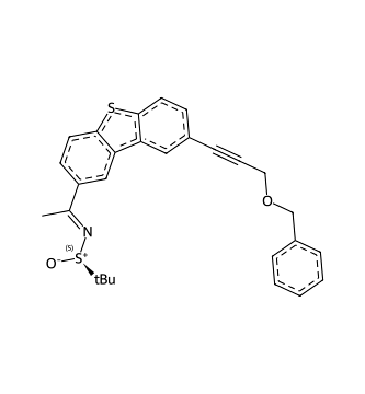 CC(=N[S@+]([O-])C(C)(C)C)c1ccc2sc3ccc(C#CCOCc4ccccc4)cc3c2c1